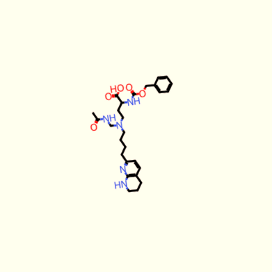 CC(=O)NCN(CCCCc1ccc2c(n1)NCCC2)CCC(NC(=O)OCc1ccccc1)C(=O)O